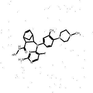 CCCNC(=O)C1C2C=CC(C2)C1N(c1ccc(N2CCN(C)CC2)c(C)c1)c1nc(N)ncc1F